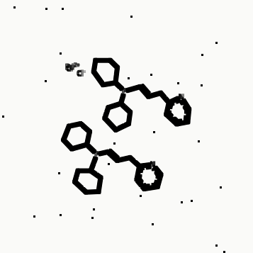 C(=CP(C1CCCCC1)C1CCCCC1)Cc1ccccn1.C(=CP(C1CCCCC1)C1CCCCC1)Cc1ccccn1.[Cl-].[Cl-].[Pd+2]